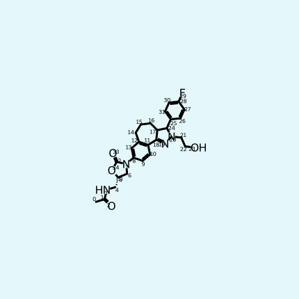 CC(=O)NC[C@H]1CN(c2ccc3c(c2)CCCC2C3=NN(CCO)C2c2ccc(F)cc2)C(=O)O1